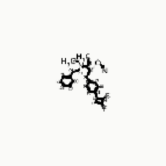 CC#N.CCC(CCc1ccc(C2CC(F)C2F)cc1)N(CC)CCc1ccccc1